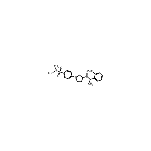 COc1ccccc1C(C)N[C@H]1CCN(c2ccc(S(=O)(=O)N(C)C)cc2)C1